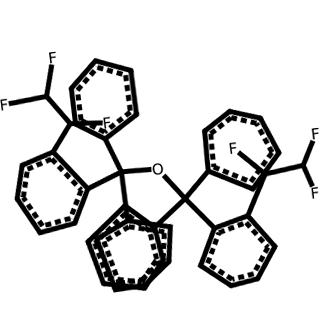 FC(F)C(F)c1ccccc1C(OC(c1ccccc1)(c1ccccc1)c1ccccc1C(F)C(F)F)(c1ccccc1)c1ccccc1